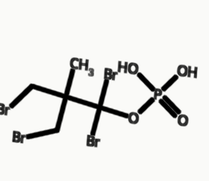 CC(CBr)(CBr)C(Br)(Br)OP(=O)(O)O